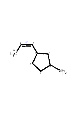 C/C=C\C1CCC(N)C1